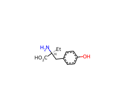 CC[C@](N)(Cc1ccc(O)cc1)C(=O)O